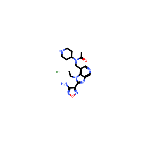 CCn1c(-c2nonc2N)nc2cncc(CN(C(C)=O)C3CCNCC3)c21.Cl